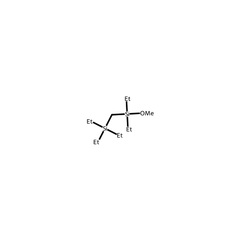 CC[Si](CC)(CC)C[Si](CC)(CC)OC